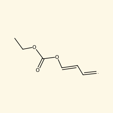 [CH]=CC=COC(=O)OCC